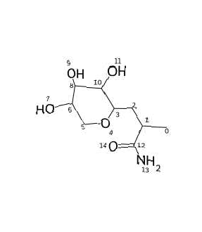 CC([CH]C1OCC(O)C(O)C1O)C(N)=O